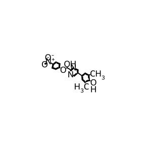 Cc1cc(-c2cnc(C(O)Oc3ccc([N+](=O)[O-])cc3)nc2)cc(C)c1O